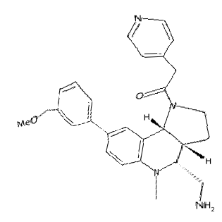 COc1cccc(-c2ccc3c(c2)[C@H]2[C@H](CCN2C(=O)Cc2ccncc2)[C@H](CN)N3C)c1